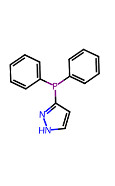 c1ccc(P(c2ccccc2)c2cc[nH]n2)cc1